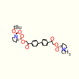 CN1CCC[C@H]1C(=O)OCC(=O)c1ccc(-c2ccc(C(=O)COC(=O)[C@@H]3CCCN3C(=O)OC(C)(C)C)cc2)cc1